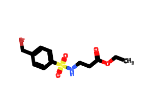 CCOC(=O)CCNS(=O)(=O)c1ccc(CBr)cc1